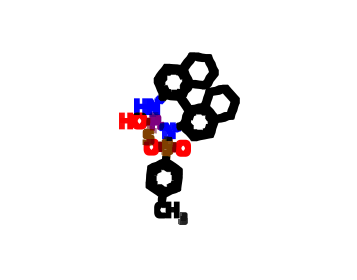 Cc1ccc(S(=O)(=O)N2c3ccc4c(c3-c3c(ccc5c3CCCC5)NP2(O)=S)CCCC4)cc1